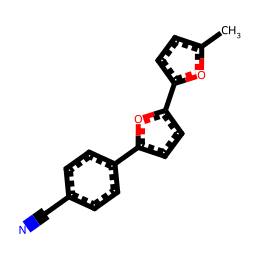 Cc1ccc(-c2ccc(-c3ccc(C#N)cc3)o2)o1